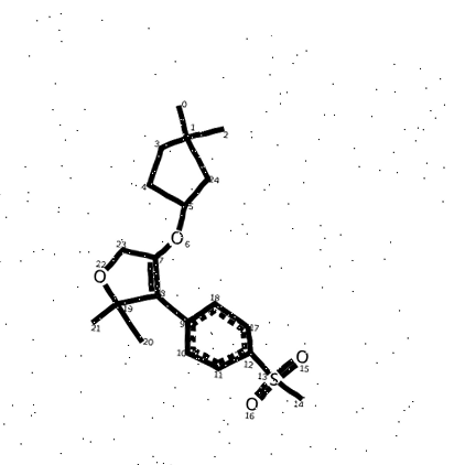 CC1(C)CCC(OC2=C(c3ccc(S(C)(=O)=O)cc3)C(C)(C)OC2)C1